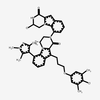 Cc1cc(OCCCc2c3n(c4c(-c5c(C)nn(C)c5C)cccc24)[C@H](C)CN(c2cccc4cc5n(c24)CC(Cl)NC5=O)C3=O)cc(C)c1Cl